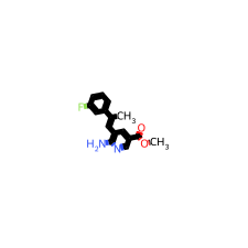 COC(=O)c1cnc(N)c(/C=C(\C)c2cccc(F)c2)c1